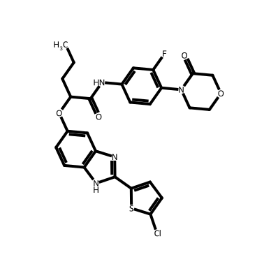 CCCC(Oc1ccc2[nH]c(-c3ccc(Cl)s3)nc2c1)C(=O)Nc1ccc(N2CCOCC2=O)c(F)c1